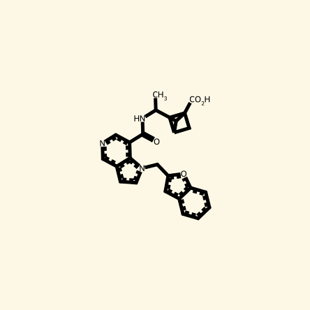 CC(NC(=O)c1cncc2ccn(Cc3cc4ccccc4o3)c12)C1C2CC1(C(=O)O)C2